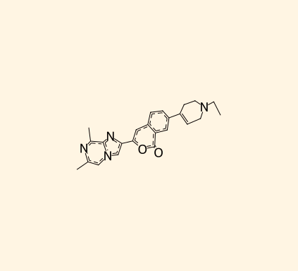 CCN1CC=C(c2ccc3cc(-c4cn5cc(C)nc(C)c5n4)oc(=O)c3c2)CC1